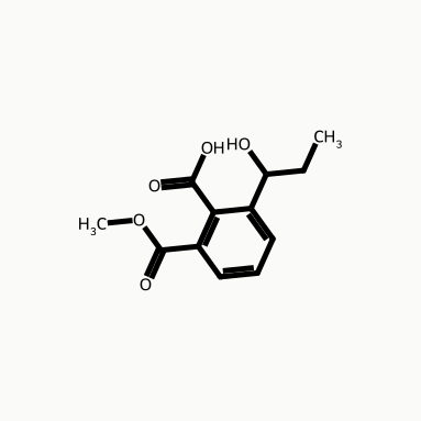 CCC(O)c1cccc(C(=O)OC)c1C(=O)O